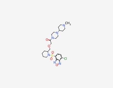 CN1CCC(N2CCN(C(=O)COCC3CCCCN3S(=O)(=O)c3ccc(Cl)c4nonc34)CC2)CC1